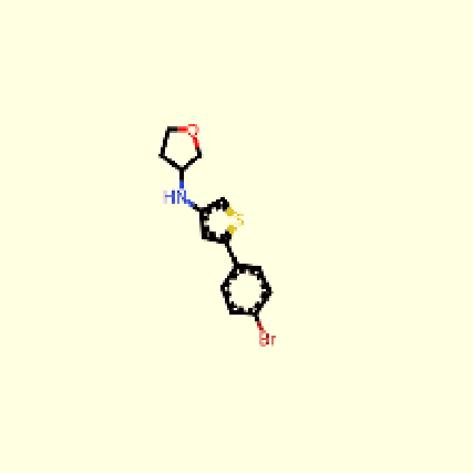 Brc1ccc(-c2cc(NC3CCOC3)cs2)cc1